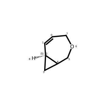 C1=C[C@@H]2CC2COC1